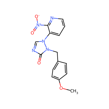 COc1ccc(Cn2c(=O)ncn2-c2cccnc2[N+](=O)[O-])cc1